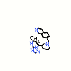 Cc1cc(C2CCCN(Cc3ccc4ccncc4c3)C2)n2ncnc2n1